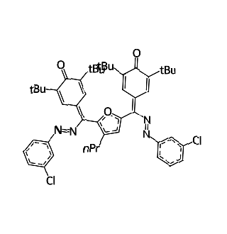 CCCc1cc(C(/N=N/c2cccc(Cl)c2)=C2C=C(C(C)(C)C)C(=O)C(C(C)(C)C)=C2)oc1C(/N=N/c1cccc(Cl)c1)=C1C=C(C(C)(C)C)C(=O)C(C(C)(C)C)=C1